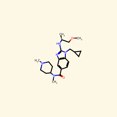 COC[C@H](C)Nc1nc2cc(C(=O)N(C)C3CCN(C)CC3)ccc2n1CC1CC1